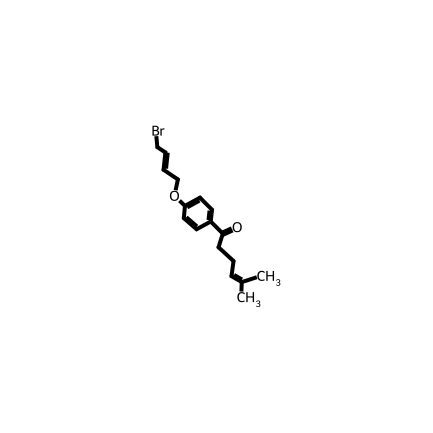 CC(C)=CCCC(=O)c1ccc(OC/C=C/CBr)cc1